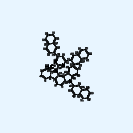 C[C@@]12C=CC=CC1c1ccc3c(c1N2c1nc(-c2ccc4ccccc4c2)cc(-c2ccc4ccccc4c2)n1)c1ccccc1n3-c1ccc2ccccc2c1